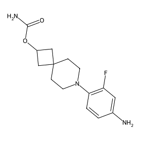 NC(=O)OC1CC2(CCN(c3ccc(N)cc3F)CC2)C1